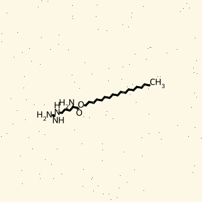 CCCCCCCCCCCCCCCCCCOC(=O)C(N)CCCNC(=N)N